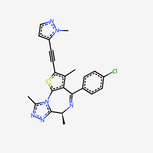 Cc1c(C#Cc2ccnn2C)sc2c1C(c1ccc(Cl)cc1)=N[C@@H](C)c1nnc(C)n1-2